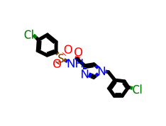 O=C(NS(=O)(=O)c1ccc(Cl)cc1)c1cn(Cc2cccc(Cl)c2)cn1